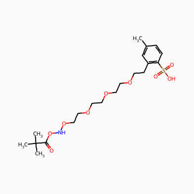 Cc1ccc(S(=O)(=O)O)c(CCOCCOCCOCCONOC(=O)C(C)(C)C)c1